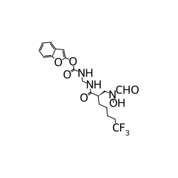 O=CN(O)C[C@@H](CCCCC(F)(F)F)C(=O)NCNC(=O)Oc1cc2ccccc2o1